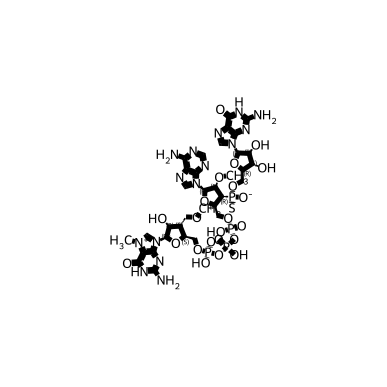 COC[C@H]1[C@@H](O)[C@H](n2c[n+](C)c3c(=O)[nH]c(N)nc32)O[C@@H]1COP(=O)(O)OP(=O)(O)OP(=O)(O)OC[C@H]1O[C@@H](n2cnc3c(N)ncnc32)[C@H](OC)[C@@H]1P([O-])(=S)OC[C@H]1O[C@@H](n2cnc3c(=O)[nH]c(N)nc32)[C@H](O)[C@@H]1O